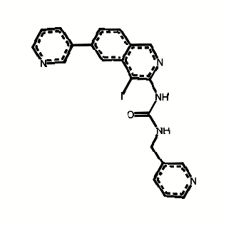 O=C(NCc1cccnc1)Nc1ncc2ccc(-c3cccnc3)cc2c1I